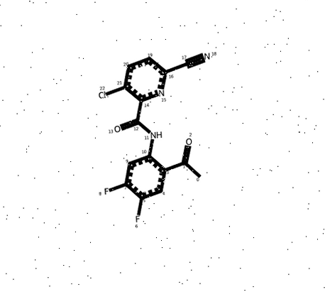 CC(=O)c1cc(F)c(F)cc1NC(=O)c1nc(C#N)ccc1Cl